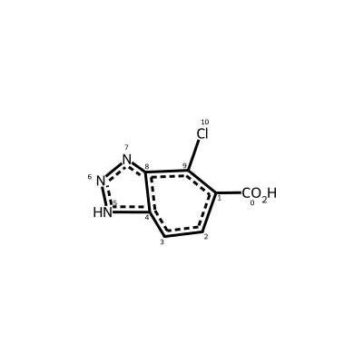 O=C(O)c1ccc2[nH]nnc2c1Cl